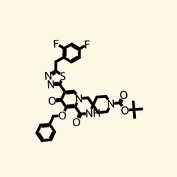 CC(C)(C)OC(=O)N1CCC2(CC1)Cn1cc(-c3nnc(Cc4ccc(F)cc4F)s3)c(=O)c(OCc3ccccc3)c1C(=O)N2